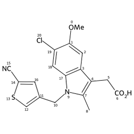 COc1cc2c(CC(=O)O)c(C)n(Cc3csc(C#N)c3)c2cc1Cl